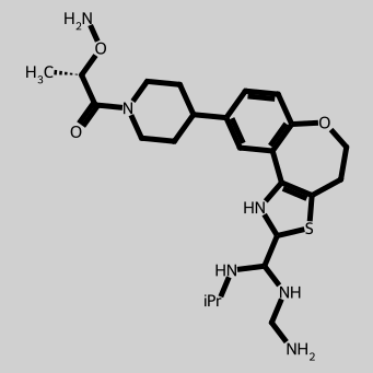 CC(C)NC(NCN)C1NC2=C(CCOc3ccc(C4CCN(C(=O)[C@H](C)ON)CC4)cc32)S1